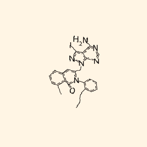 CCCc1ccccc1-n1c(Cn2nc(I)c3c(N)ncnc32)cc2cccc(C)c2c1=O